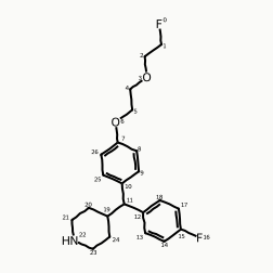 FCCOCCOc1ccc(C(c2ccc(F)cc2)C2CCNCC2)cc1